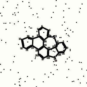 c1cc2sc3cccc4c5ccccc5c5ccc6sc(c1)c2c6c5c34